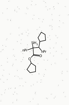 CCCC(C1CCCC1)C([SiH3])(CCC)C(=O)OC1CCCC1